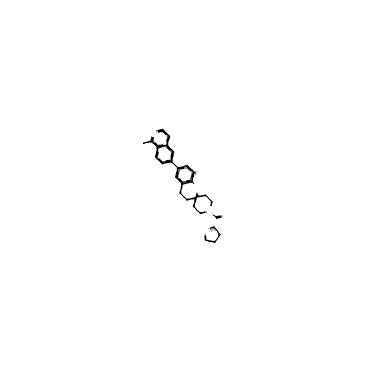 Cc1nccc2cc(-c3ccc4c(c3)CCC3(CCN(C(=O)[C@H]5CCCO5)CC3)O4)ccc12.Cl